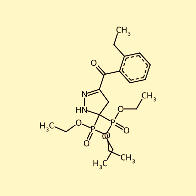 CCOP(=O)(OCC)C1(P(=O)(OCC)OCC)CC(C(=O)c2ccccc2CC)=NN1